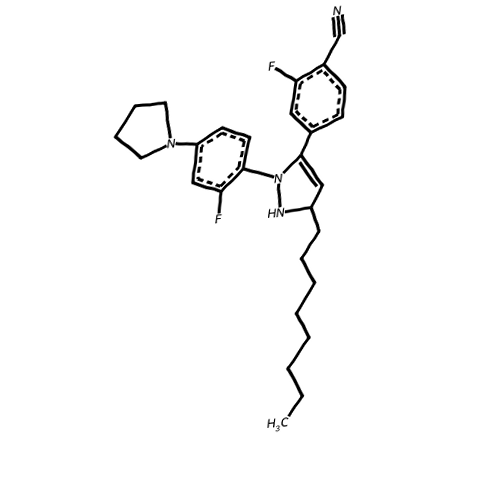 CCCCCCCCC1C=C(c2ccc(C#N)c(F)c2)N(c2ccc(N3CCCC3)cc2F)N1